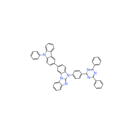 c1ccc(-c2nc(-c3ccccc3)nc(-c3ccc(-n4c5ccc(-c6ccc7c(c6)c6ccccc6n7-c6ccccc6)cc5n5c6ccccc6nc45)cc3)n2)cc1